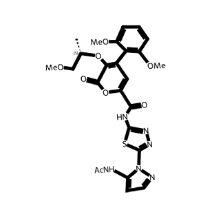 COC[C@H](C)Oc1c(-c2c(OC)cccc2OC)cc(C(=O)Nc2nnc(-n3nccc3NC(C)=O)s2)oc1=O